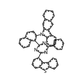 c1ccc(-c2nc(-c3c(-n4c5ccccc5c5cc6ccccc6cc54)ccc4ccccc34)nc(-c3cccc4sc5ccccc5c34)n2)cc1